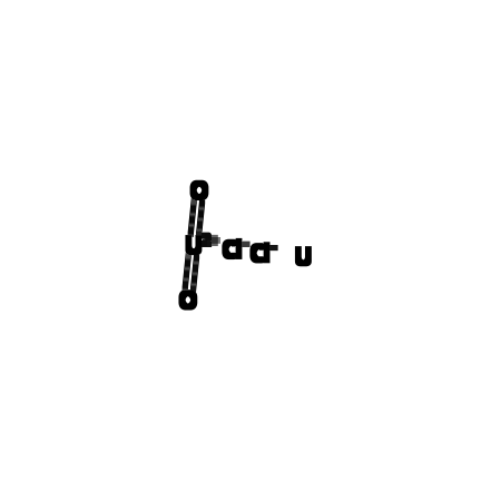 [Cl-].[Cl-].[O]=[U+2]=[O].[U]